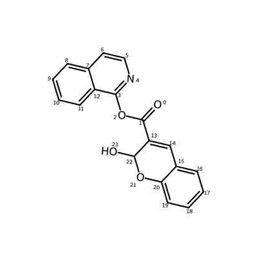 O=C(Oc1nccc2ccccc12)C1=Cc2ccccc2OC1O